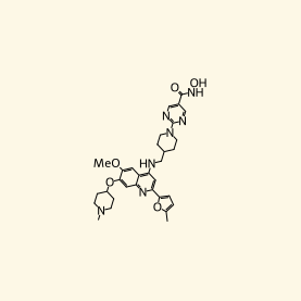 COc1cc2c(NCC3CCN(c4ncc(C(=O)NO)cn4)CC3)cc(-c3ccc(C)o3)nc2cc1OC1CCN(C)CC1